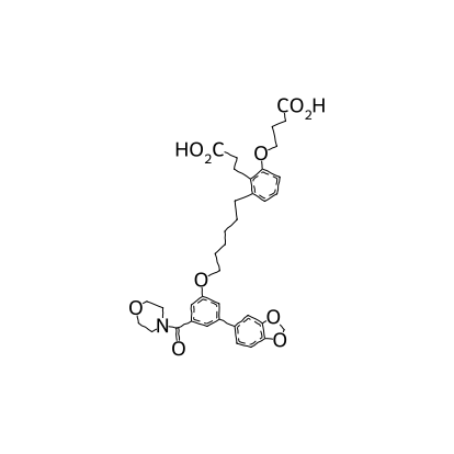 O=C(O)CCCOc1cccc(CCCCCCOc2cc(C(=O)N3CCOCC3)cc(-c3ccc4c(c3)OCO4)c2)c1CCC(=O)O